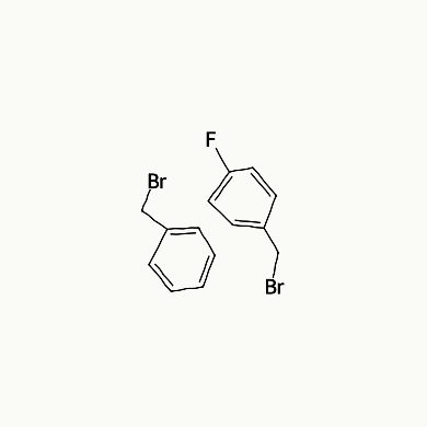 BrCc1ccccc1.Fc1ccc(CBr)cc1